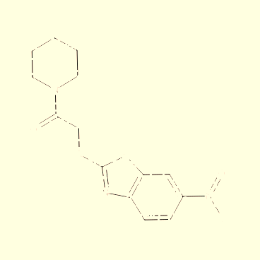 O=C(CSc1nc2ccc([N+](=O)[O-])cc2s1)N1CCCCC1